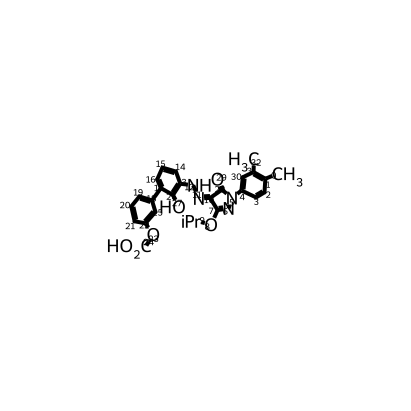 Cc1ccc(N2N=C(OC(C)C)C(=NNc3cccc(-c4cccc(OC(=O)O)c4)c3O)C2=O)cc1C